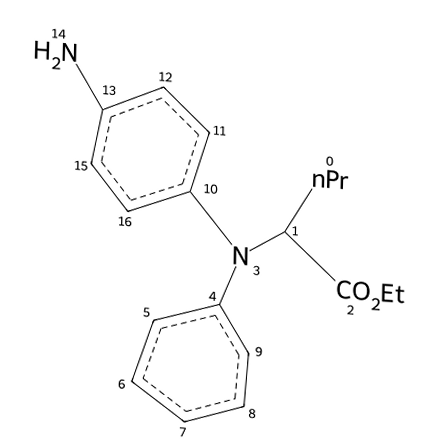 CCCC(C(=O)OCC)N(c1ccccc1)c1ccc(N)cc1